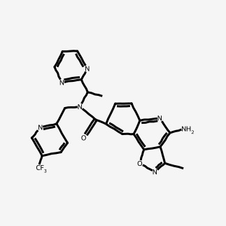 Cc1noc2c1c(N)nc1ccc(C(=O)N(Cc3ccc(C(F)(F)F)cn3)C(C)c3ncccn3)cc12